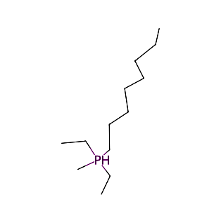 CCCCCCCC[PH](C)(CC)CC